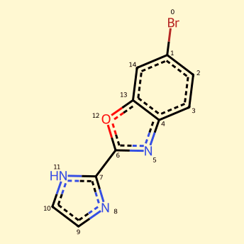 Brc1ccc2nc(-c3ncc[nH]3)oc2c1